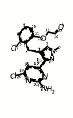 Cn1cc(Cc2c(Cl)cccc2OCC=O)c(-c2cc(Cl)nc(N)n2)n1